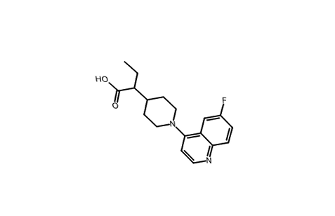 CCC(C(=O)O)C1CCN(c2ccnc3ccc(F)cc23)CC1